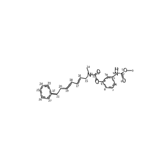 COC(=O)Nc1cccc(OC(=O)N(C)C/C=C/C=C/CCc2ccccc2)c1